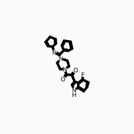 O=C(C(=O)N1CCN(/C(=N/C2C=CCC=C2)c2ccccc2)CC1)c1c[nH]c2cccc(F)c12